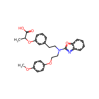 COc1ccc(OCCN(CCc2cccc(OC(C)C(=O)O)c2)c2nc3ccccc3o2)cc1